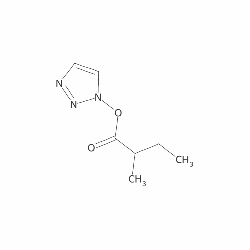 CCC(C)C(=O)On1ccnn1